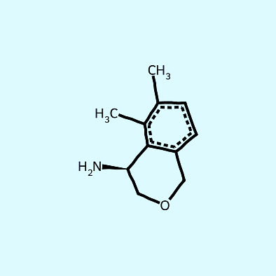 Cc1ccc2c(c1C)[C@H](N)COC2